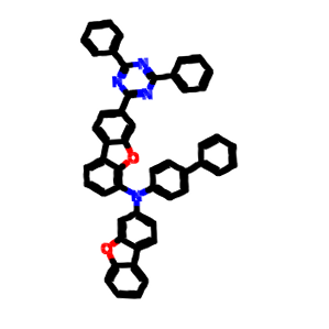 c1ccc(-c2ccc(N(c3ccc4c(c3)oc3ccccc34)c3cccc4c3oc3cc(-c5nc(-c6ccccc6)nc(-c6ccccc6)n5)ccc34)cc2)cc1